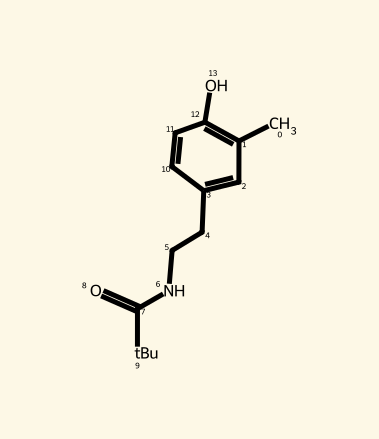 Cc1cc(CCNC(=O)C(C)(C)C)ccc1O